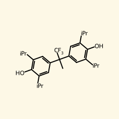 CC(C)c1cc(C(C)(c2cc(C(C)C)c(O)c(C(C)C)c2)C(F)(F)F)cc(C(C)C)c1O